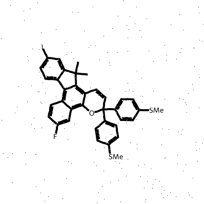 CSc1ccc(C2(c3ccc(SC)cc3)C=Cc3c4c(c5ccc(F)cc5c3O2)-c2ccc(I)cc2C4(C)C)cc1